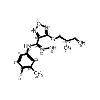 OC[C@H](O)CSc1nonc1C(=NO)Nc1ccc(F)c(C(F)(F)F)c1